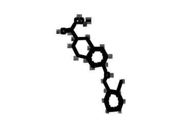 Cc1ccccc1COc1ccc2c(c1)CCC(C(=O)C(=O)O)C2